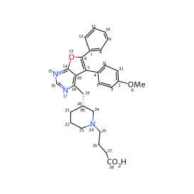 COc1ccc(-c2c(-c3ccccc3)oc3ncnc(C[C@H]4CCCN(CCCC(=O)O)C4)c23)cc1